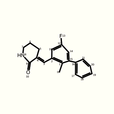 Cc1c(/C=C2\CCCNC2=O)cc(F)cc1-c1ccccc1